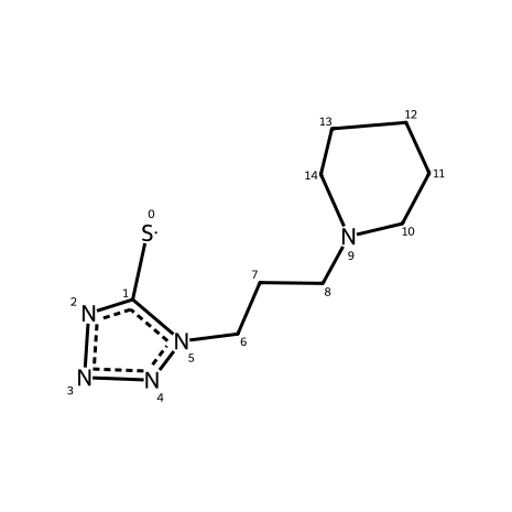 [S]c1nnnn1CCCN1CCCCC1